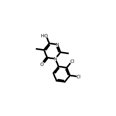 Cc1c(O)nc(C)n(-c2cccc(Cl)c2Cl)c1=O